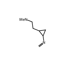 C=NC1CC1CCNC